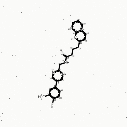 Cc1cc(-c2cnc(CNC(=O)CCCc3ccc4cccnc4n3)nc2)ccc1F